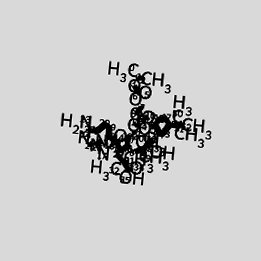 CC(C)OC(=O)OCO[P@](=O)(OC[C@@H]1O[C@@](C#N)(c2ccc3c(N)ncnn23)[C@H](CC(C)(C)C(=O)O)[C@H]1CC(C)(C)C(=O)O)Oc1ccc(C(C)(C)C)cc1